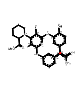 COC(=O)C1CCCCN1c1c(F)c(Oc2cccc(NC(=N)N)c2)nc(Oc2cc(C(=N)N)ccc2O)c1F